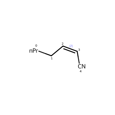 CCCC/C=C\C#N